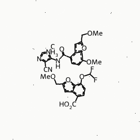 COCc1cc2c(C(=O)Nc3c(C#N)ncn3C)ccc(OC)c2o1.COCc1cc2c(C(=O)O)ccc(OC(F)F)c2o1